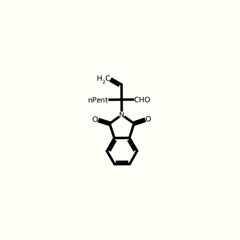 C=CC(C=O)(CCCCC)N1C(=O)c2ccccc2C1=O